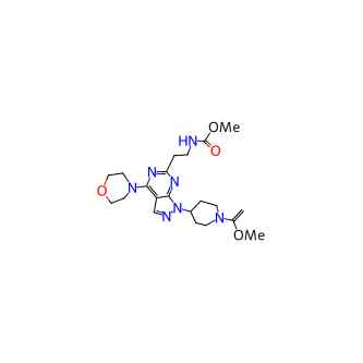 C=C(OC)N1CCC(n2ncc3c(N4CCOCC4)nc(CCNC(=O)OC)nc32)CC1